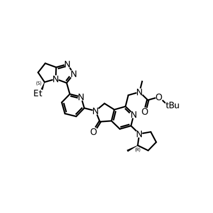 CC[C@H]1CCc2nnc(-c3cccc(N4Cc5c(cc(N6CCC[C@H]6C)nc5CN(C)C(=O)OC(C)(C)C)C4=O)n3)n21